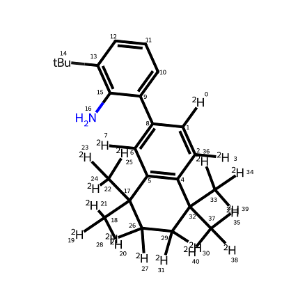 [2H]c1c([2H])c2c(c([2H])c1-c1cccc(C(C)(C)C)c1N)C(C([2H])([2H])[2H])(C([2H])([2H])[2H])C([2H])([2H])C([2H])([2H])C2(C([2H])([2H])[2H])C([2H])([2H])[2H]